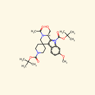 COc1ccc2c3c(n(C(=O)OC(C)(C)C)c2c1)[C@H](CO)N(C(C)=O)CC31CCN(C(=O)OC(C)(C)C)CC1